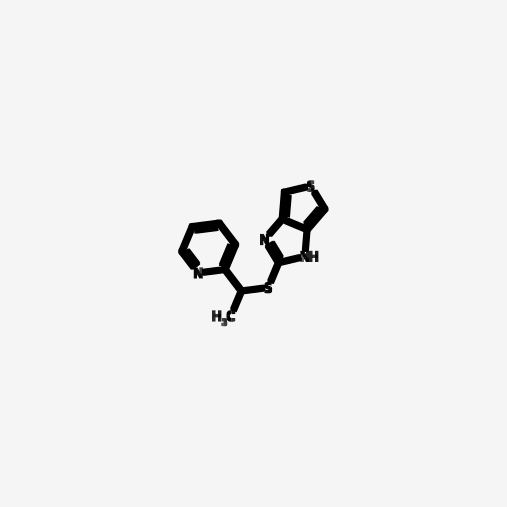 CC(Sc1nc2cscc2[nH]1)c1ccccn1